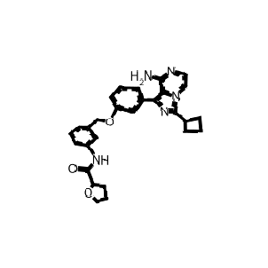 Nc1nccn2c(C3CCC3)nc(-c3cccc(OCc4cccc(NC(=O)C5CCCO5)c4)c3)c12